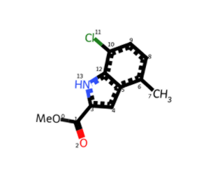 COC(=O)c1cc2c(C)ccc(Cl)c2[nH]1